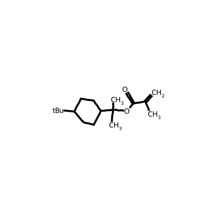 C=C(C)C(=O)OC(C)(C)C1CCC(C(C)(C)C)CC1